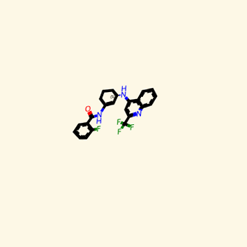 O=C(NC1=C[C@@H](Nc2cc(C(F)(F)F)nc3ccccc23)CCC1)c1ccccc1F